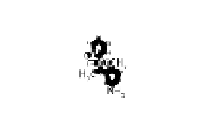 Cc1ccc(N)cc1C(C)S(=O)(=O)c1cccc[n+]1[O-]